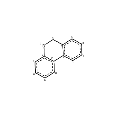 c1ccc2c(c1)C[N]c1ccccc1-2